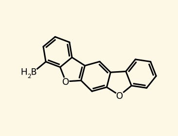 Bc1cccc2c1oc1cc3oc4ccccc4c3cc12